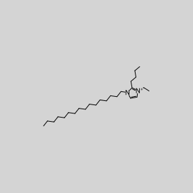 CCCCCCCCCCCCCCCCn1cc[n+](CC)c1CCCC